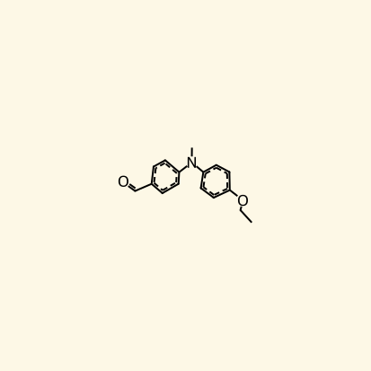 CCOc1ccc(N(C)c2ccc(C=O)cc2)cc1